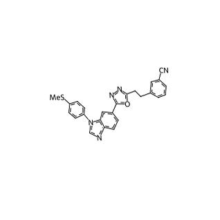 CSc1ccc(-n2cnc3ccc(-c4nnc(CCc5cccc(C#N)c5)o4)cc32)cc1